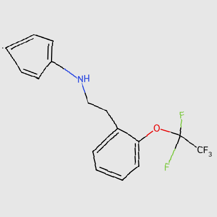 FC(F)(F)C(F)(F)Oc1ccccc1CCNc1cc[c]cc1